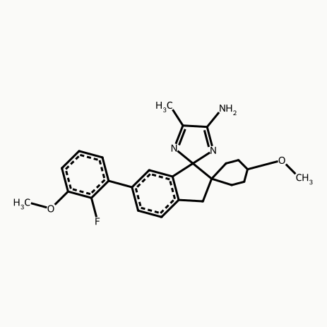 COc1cccc(-c2ccc3c(c2)C2(N=C(C)C(N)=N2)C2(CCC(OC)CC2)C3)c1F